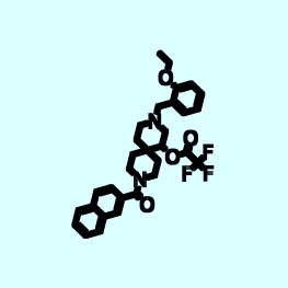 CCOc1ccccc1CN1CCC2(CCN(C(=O)c3ccc4ccccc4c3)CC2)C(OC(=O)C(F)(F)F)C1